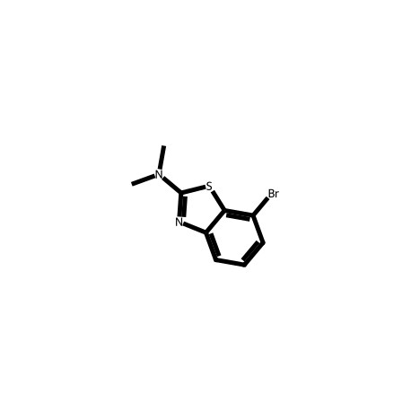 CN(C)c1nc2cccc(Br)c2s1